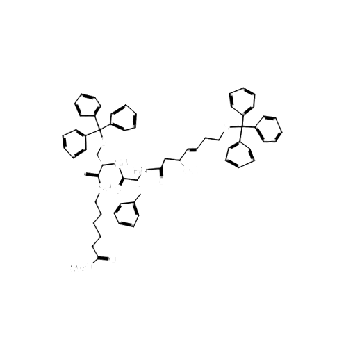 COC(=O)CCCCCNC(=O)[C@@H](CSC(c1ccccc1)(c1ccccc1)c1ccccc1)NC(=O)[C@@H](Cc1ccccc1)NC(=O)C[C@H](O)/C=C/CCSC(c1ccccc1)(c1ccccc1)c1ccccc1